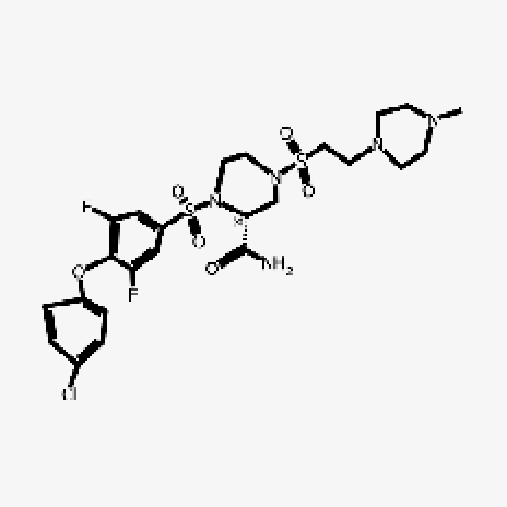 CN1CCN(CCS(=O)(=O)N2CCN(S(=O)(=O)c3cc(F)c(Oc4ccc(Cl)cc4)c(F)c3)[C@@H](C(N)=O)C2)CC1